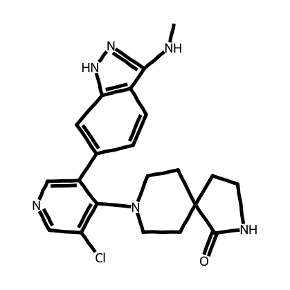 CNc1n[nH]c2cc(-c3cncc(Cl)c3N3CCC4(CCNC4=O)CC3)ccc12